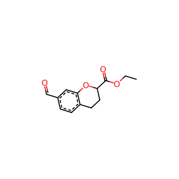 CCOC(=O)C1CCc2ccc(C=O)cc2O1